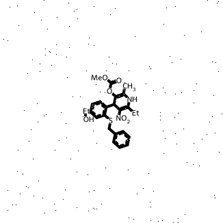 CCC1=C([N+](=O)[O-])C(c2ccccc2SCc2ccccc2)C(OC(=O)OC)=C(C)N1.CCO